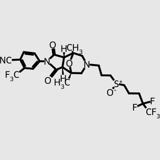 C[C@]12CN(CCC[S+]([O-])CCCC(F)(F)C(F)(F)F)C[C@](C)(O1)[C@H]1C(=O)N(c3ccc(C#N)c(C(F)(F)F)c3)C(=O)[C@H]12